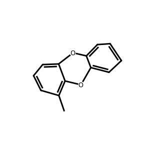 Cc1cccc2c1Oc1ccccc1O2